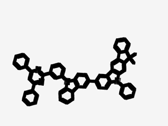 CC1(C)c2ccccc2-c2cc3c4cc(-c5ccc6c(c5)C5CC=CC=C5N6c5cccc(-c6nc(-c7ccccc7)cc(-c7ccccc7)n6)c5)ccc4n(-c4ccccc4)c3cc21